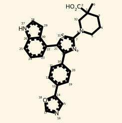 CC1(C(=O)O)CCCN(c2nc(-c3ccc(-c4cnco4)cc3)c(-c3cccc4[nH]ccc34)s2)C1